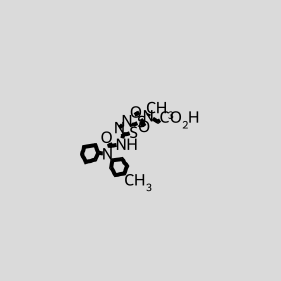 CN(CC(=O)O)S(=O)(=O)c1nnc(NC(=O)N(C2CCCCC2)[C@H]2CC[C@H](C)CC2)s1